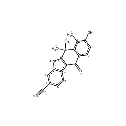 Cc1c(O)ccc2c1C(C)(C)c1[nH]c3cc(C#N)ccc3c1C2=O